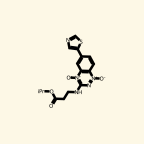 CC(C)OC(=O)CCNc1n[n+]([O-])c2ccc(-c3cncs3)cc2[n+]1[O-]